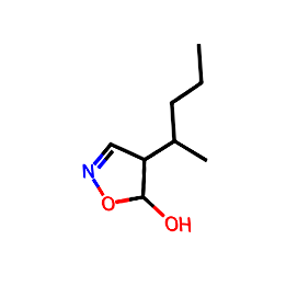 CCCC(C)C1C=NOC1O